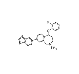 CN1CCC(Oc2ccccc2F)c2ccc(-c3ccc4ncnn4c3)cc2C1